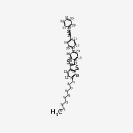 CCCCCCCCCCc1ccc2c(c1)sc1c3ccc(-c4ccc(C#Cc5ccccc5)cc4)cc3sc21